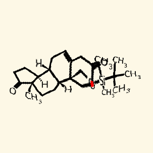 CC(C)(C)[Si](C)(C)OC[C@]12CCC(=O)CC1=CC[C@@H]1[C@H]2CC[C@]2(C)C(=O)CC[C@@H]12